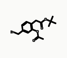 CC(=O)Oc1cc(CBr)ccc1CC(=O)OC(C)(C)C